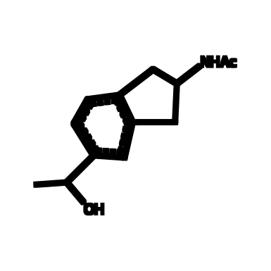 CC(=O)NC1Cc2ccc(C(C)O)cc2C1